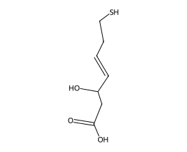 O=C(O)CC(O)C=CCCS